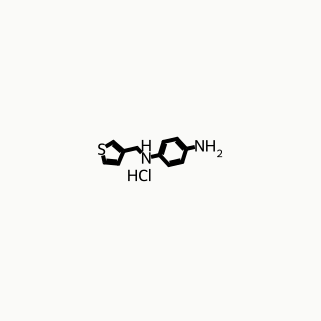 Cl.Nc1ccc(NCc2ccsc2)cc1